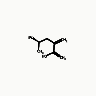 C=C(O)C(=C)C[C@@H](C)C(C)C